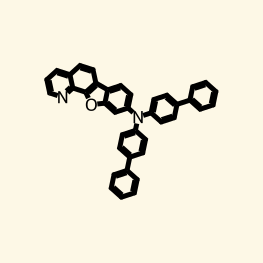 c1ccc(-c2ccc(N(c3ccc(-c4ccccc4)cc3)c3ccc4c(c3)oc3c4ccc4cccnc43)cc2)cc1